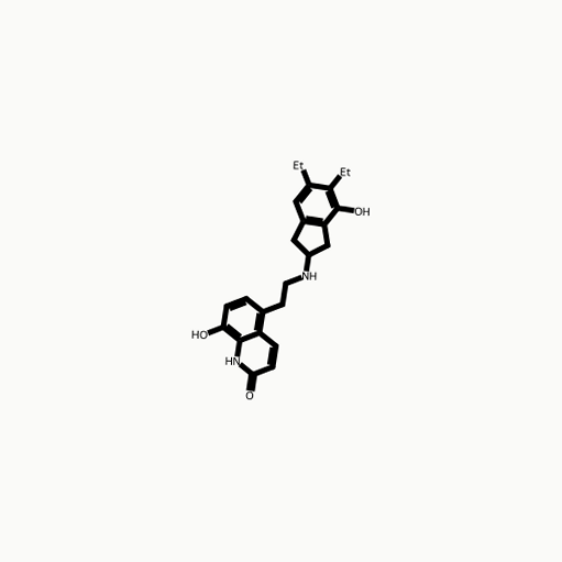 CCc1cc2c(c(O)c1CC)CC(NCCc1ccc(O)c3[nH]c(=O)ccc13)C2